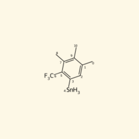 Cc1c[c]([SnH3])c(C(F)(F)F)c(C)c1C